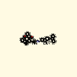 CCC1(CC)c2cc(/C=C/c3nnc(-c4ccc5c(c4)C4(c6ccccc6-c6ccccc64)c4ccccc4C54c5ccccc5-c5ccccc54)o3)ccc2-c2ccc(-n3c4ccccc4c4ccccc43)cc21